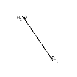 NC(=O)CCCCCCCCCCCCCCCCCCCCCCCCCCCCCCCCCCCCCCCCCCCCCC(N)=O